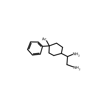 CC(=O)C1(c2ccccc2)CCC(C(N)CN)CC1